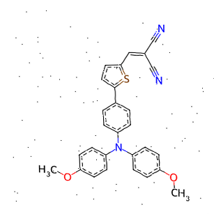 COc1ccc(N(c2ccc(OC)cc2)c2ccc(-c3ccc(C=C(C#N)C#N)s3)cc2)cc1